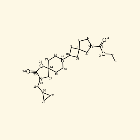 CCOC(=O)N1CCC2(CC(N3CCC4(CC3)CN(CC3CC3)C(=O)O4)C2)C1